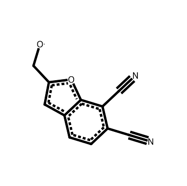 N#Cc1ccc2cc(C[O])oc2c1C#N